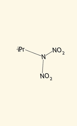 C[C](C)N([N+](=O)[O-])[N+](=O)[O-]